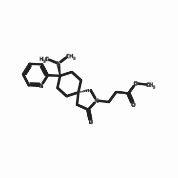 COC(=O)CCN1C[C@]2(CC[C@](c3ccccn3)(N(C)C)CC2)CC1=O